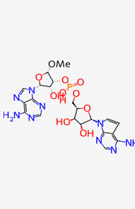 CO[C@H]1O[C@@H](n2cnc3c(N)ncnc32)[C@@H](O)[C@H]1OP(=O)(O)OC[C@H]1O[C@@H](n2ccc3c(N)ncnc32)[C@@H](O)[C@H]1O